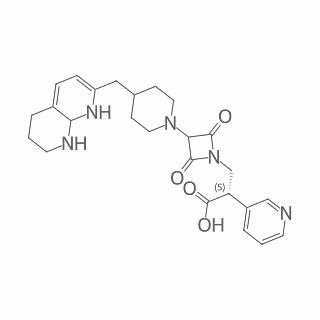 O=C(O)[C@H](CN1C(=O)C(N2CCC(CC3=CC=C4CCCNC4N3)CC2)C1=O)c1cccnc1